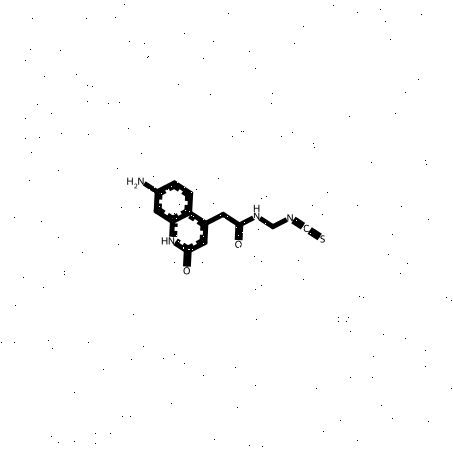 Nc1ccc2c(CC(=O)NCN=C=S)cc(=O)[nH]c2c1